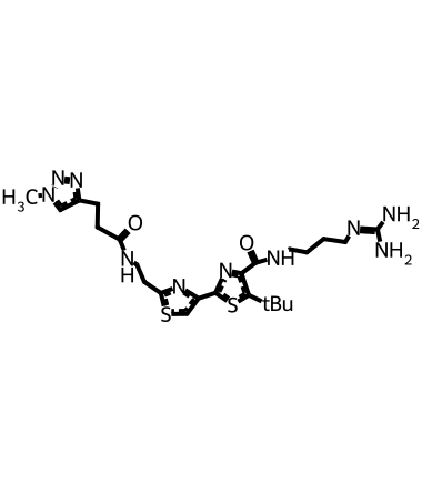 Cn1cc(CCC(=O)NCCc2nc(-c3nc(C(=O)NCCCCN=C(N)N)c(C(C)(C)C)s3)cs2)nn1